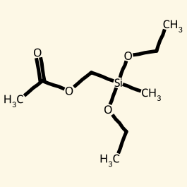 CCO[Si](C)(COC(C)=O)OCC